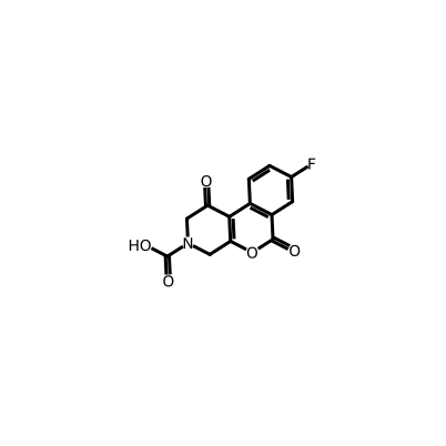 O=C1CN(C(=O)O)Cc2oc(=O)c3cc(F)ccc3c21